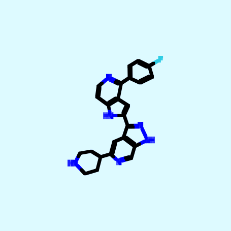 Fc1ccc(-c2nccc3[nH]c(-c4n[nH]c5cnc(C6CCNCC6)cc45)cc23)cc1